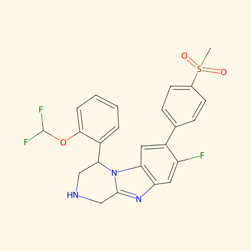 CS(=O)(=O)c1ccc(-c2cc3c(cc2F)nc2n3C(c3ccccc3OC(F)F)CNC2)cc1